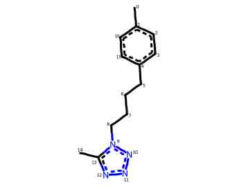 Cc1ccc(CCCCn2nnnc2C)cc1